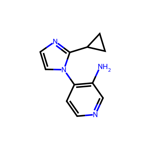 Nc1cnccc1-n1ccnc1C1CC1